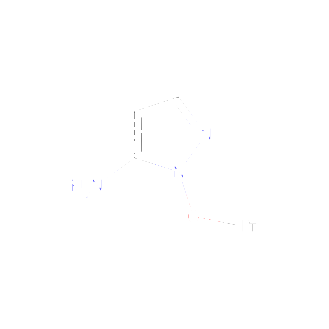 CC(C)On1nccc1N